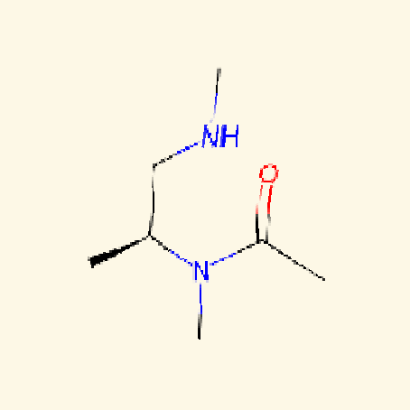 CNC[C@H](C)N(C)C(C)=O